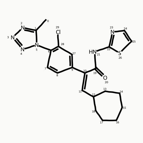 Cc1nnnn1-c1ccc(C(=CC2CCCCCC2)C(=O)Nc2nccs2)cc1Cl